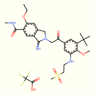 CCOc1cc2c(cc1C(=O)NC)C(=N)N(CC(=O)c1cc(NCCS(C)(=O)=O)c(OC)c(C(C)(C)C)c1)C2.O=C(O)C(F)(F)F